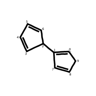 [C]1=C(C2C=CC=C2)C=CC1